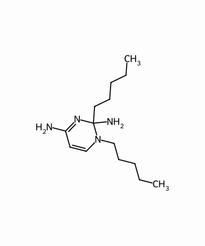 CCCCCN1C=CC(N)=NC1(N)CCCCC